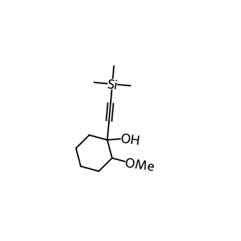 COC1CCCCC1(O)C#C[Si](C)(C)C